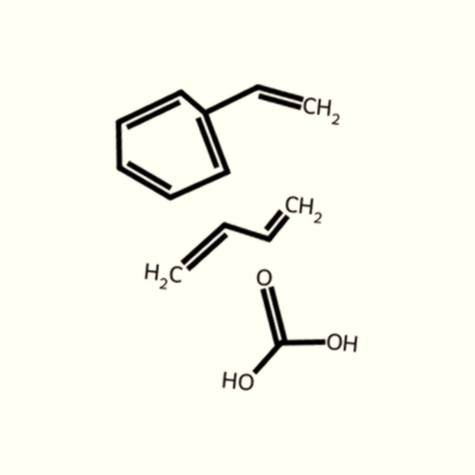 C=CC=C.C=Cc1ccccc1.O=C(O)O